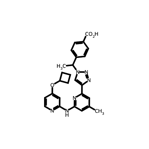 Cc1cc(Nc2cc(OC3CCC3)ccn2)nc(-c2cn(C(C)c3ccc(C(=O)O)cc3)nn2)c1